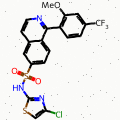 COc1cc(C(F)(F)F)ccc1-c1nccc2cc(S(=O)(=O)Nc3nc(Cl)cs3)ccc12